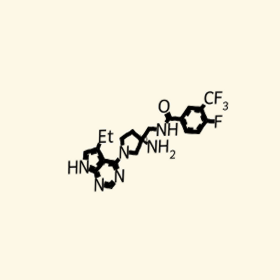 CCc1c[nH]c2ncnc(N3CC[C@](N)(CNC(=O)c4ccc(F)c(C(F)(F)F)c4)C3)c12